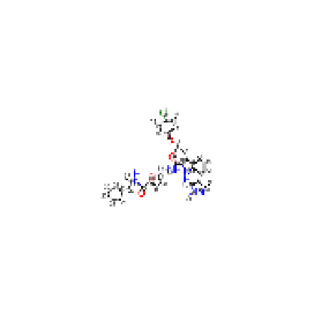 Cc1cc(OCCCc2c(C(=O)NCc3ccc(C(=O)N[C@H](C)Cc4ccccc4)o3)[nH]c3c(-c4c(C)nn(C)c4C)cccc23)cc(C)c1Cl